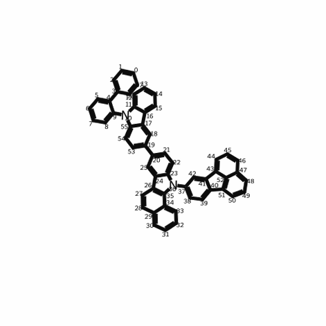 c1ccc(-c2ccccc2-n2c3ccccc3c3cc(-c4ccc5c(c4)c4ccc6ccccc6c4n5-c4ccc5c(c4)-c4cccc6cccc-5c46)ccc32)cc1